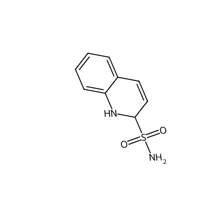 NS(=O)(=O)C1C=Cc2ccccc2N1